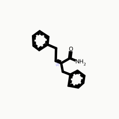 NC(=O)/C(=C\Cc1ccccc1)Cc1ccccc1